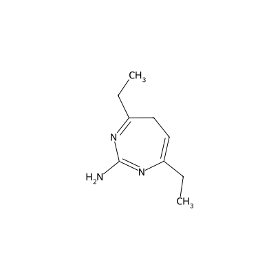 CCC1=CCC(CC)=NC(N)=N1